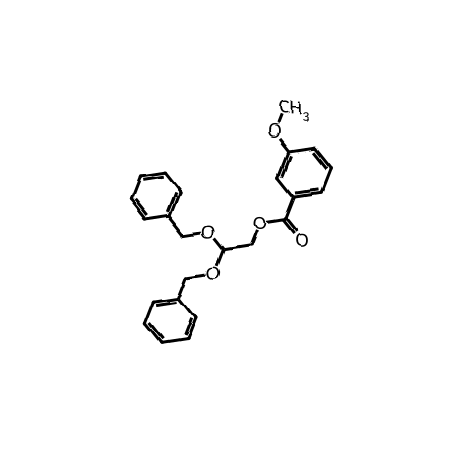 COc1cccc(C(=O)OCC(OCc2ccccc2)OCc2ccccc2)c1